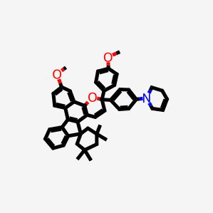 COc1ccc(C2(c3ccc(N4CC=CCC4)cc3)C=Cc3c4c(c5ccc(OC)cc5c3O2)-c2ccccc2C42CC(C)(C)CC(C)(C)C2)cc1